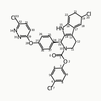 O=C(Oc1ccc(Cl)cc1)N1CCc2c([nH]c3c2=CC(Cl)CC=3)[C@@H]1c1ccc(Oc2ccc(Cl)nn2)cc1